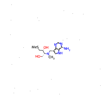 CSC[C@H](O)[C@@H](CO)N(C)Cc1c[nH]c2c(N)ncnc12